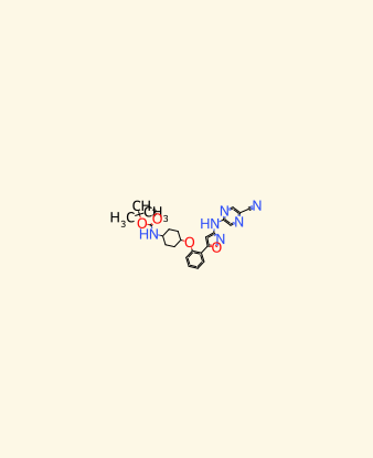 CC(C)(C)OC(=O)NC1CCC(Oc2ccccc2-c2cc(Nc3cnc(C#N)cn3)no2)CC1